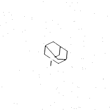 Cl[N+]12CC3CC(CC(C3)C1)C2